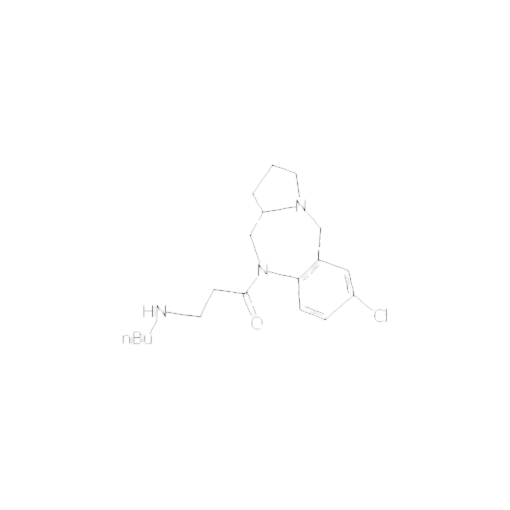 CCCCNCCC(=O)N1CC2CCCN2Cc2cc(Cl)ccc21